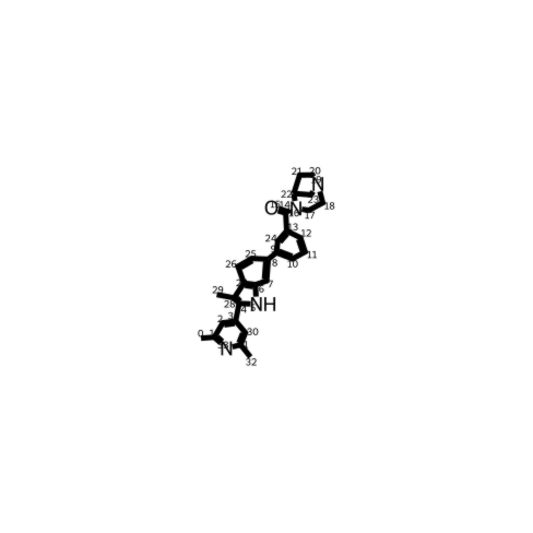 Cc1cc(-c2[nH]c3cc(-c4cccc(C(=O)N5CCN6CCC5C6)c4)ccc3c2C)cc(C)n1